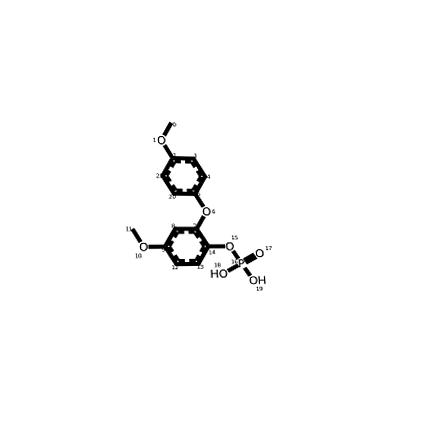 COc1ccc(Oc2cc(OC)ccc2OP(=O)(O)O)cc1